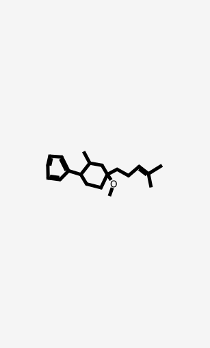 COC1(CCC=C(C)C)CCC(c2ccccc2)C(C)C1